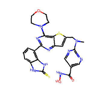 CN(Cc1cc2nc(-c3cccc4[nH]c(=S)[nH]c34)nc(N3CCOCC3)c2s1)c1ncc(C(=O)NO)cn1